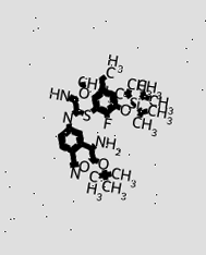 CCc1cc(O[Si](C(C)C)(C(C)C)C(C)C)c(F)c(S/C(=N\c2ccc(C#N)c(C(N)C(=O)OC(C)(C)C)c2)C(=N)OC)c1